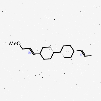 C/C=C/[C@H]1CC[C@H]([C@H]2CC[C@H](/C=C/COC)CC2)CC1